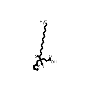 CCCCCCCCCCCCC(=S)C(C#N)(CCC(=O)O)Cc1cccs1